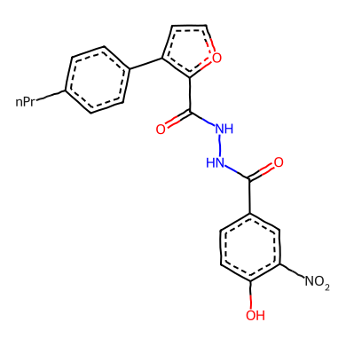 CCCc1ccc(-c2ccoc2C(=O)NNC(=O)c2ccc(O)c([N+](=O)[O-])c2)cc1